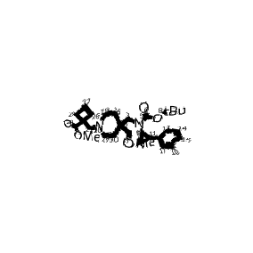 COCC1(CN(C(=O)OC(C)(C)C)[C@@H]2CC2c2ccccc2)CCN(CC2(C(=O)OC)CCC2)CC1